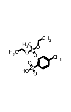 CCOP(C)(=O)OCC.Cc1ccc(S(=O)(=O)O)cc1